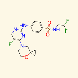 O=S(=O)(NCC(F)F)c1ccc(Nc2ncc(F)c(N3CCOC4(CC4)C3)n2)cc1